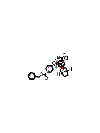 Nc1nnc(Cl)cc1N1C[C@H]2CC[C@@H](C1)N2c1cc(Cl)cc(OC2CCN(C(=O)OCc3ccccc3)CC2)c1